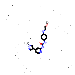 COCCNC1CCC(NC(=O)Nc2cc(-c3cnn(C)c3)ccn2)CC1